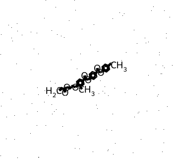 C=CC(=O)OCCOc1ccc(C(=O)Oc2ccc(C(=O)Oc3ccc(CC)cc3)cc2)cc1C